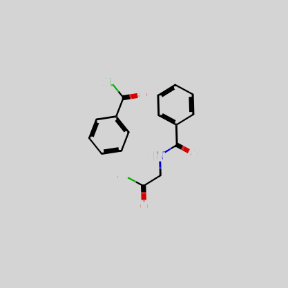 O=C(Cl)CNC(=O)c1ccccc1.O=C(Cl)c1ccccc1